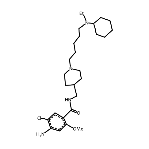 CCN(CCCCCN1CCC(CNC(=O)c2cc(Cl)c(N)cc2OC)CC1)C1CCCCC1